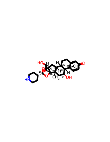 C[C@]12C=CC(=O)C=C1CC[C@@H]1[C@@H]2[C@@H](O)C[C@@]2(C)[C@H]1C[C@H]1O[C@@H](C3CCNCC3)O[C@]12C(=O)CO